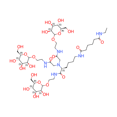 CCNC(=O)CCCCC(=O)NCCCC[C@@H](C(=O)NCCOC1O[C@H](CO)[C@@H](O)[C@H](O)[C@@H]1O)N(CC(=O)NCCOC1O[C@H](CO)[C@@H](O)[C@H](O)[C@@H]1O)CC(=O)NCCOC1O[C@H](CO)[C@@H](O)[C@H](O)[C@@H]1O